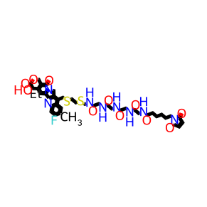 CCC1(O)C(=O)OCc2c1cc1n(c2=O)Cc2c-1nc1cc(F)c(C)cc1c2CSCCSCNC(=O)CNC(=O)CNC(=O)CNC(=O)CNC(=O)CCCCCN1C(=O)C=CC1=O